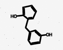 Oc1cccc(Cc2ccccc2O)c1